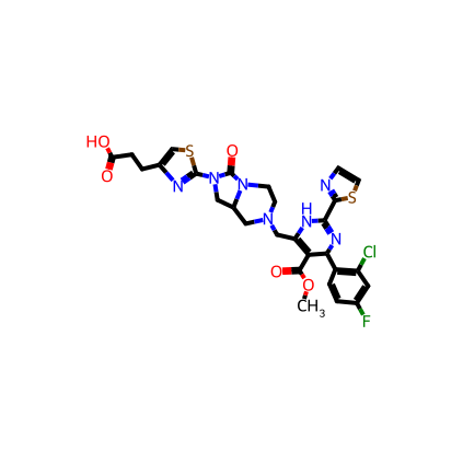 COC(=O)C1=C(CN2CCN3C(=O)N(c4nc(CCC(=O)O)cs4)CC3C2)NC(c2nccs2)=NC1c1ccc(F)cc1Cl